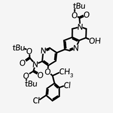 CC(Oc1cc(-c2cnc3c(c2)CN(C(=O)OC(C)(C)C)CC3O)cnc1N(C(=O)OC(C)(C)C)C(=O)OC(C)(C)C)c1cc(Cl)ccc1Cl